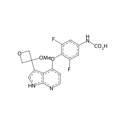 COC1(c2c[nH]c3nccc(Oc4c(F)cc(NC(=O)O)cc4F)c23)COC1